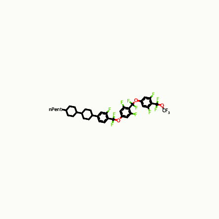 CCCCCC1CCC(C2CCC(c3ccc(C(F)(F)Oc4cc(F)c(C(F)(F)Oc5cc(F)c(C(F)(F)OC(F)(F)F)c(F)c5)c(F)c4)c(F)c3)CC2)CC1